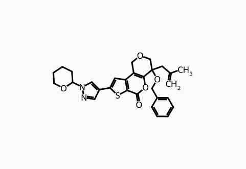 C=C(C)CC1(OCc2ccccc2)COCc2c1oc(=O)c1sc(-c3cnn(C4CCCCO4)c3)cc21